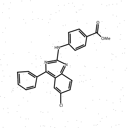 COC(=O)c1ccc(Nc2nc(-c3ccccc3)c3cc(Cl)ccc3n2)cc1